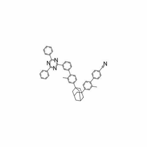 Cc1cc(C23CC4CC(C2)CC(c2ccc(-c5cccc(-c6nc(-c7ccccc7)nc(-c7ccccc7)n6)c5)c(C)c2)(C4)C3)ccc1-c1ccc(C#N)cc1